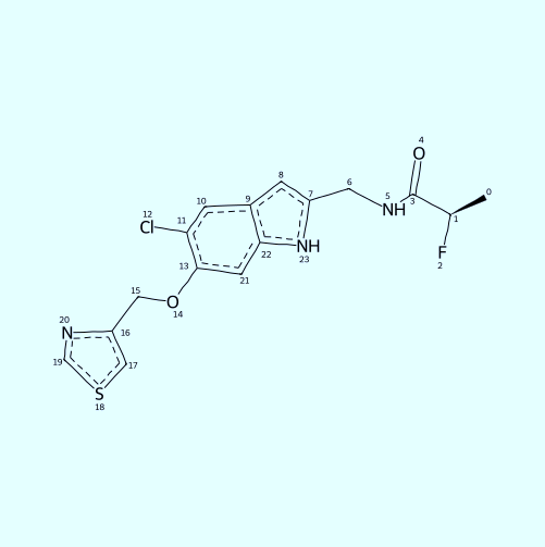 C[C@@H](F)C(=O)NCc1cc2cc(Cl)c(OCc3cscn3)cc2[nH]1